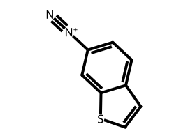 N#[N+]c1ccc2ccsc2c1